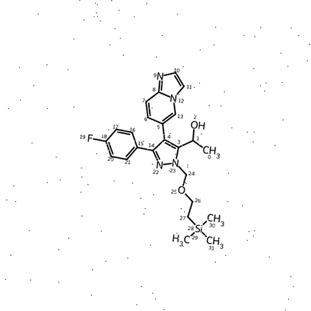 CC(O)c1c(-c2ccc3nccn3c2)c(-c2ccc(F)cc2)nn1COCC[Si](C)(C)C